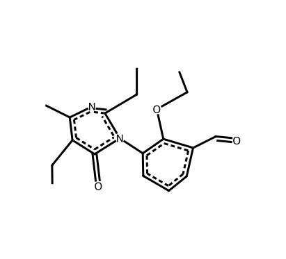 CCOc1c(C=O)cccc1-n1c(CC)nc(C)c(CC)c1=O